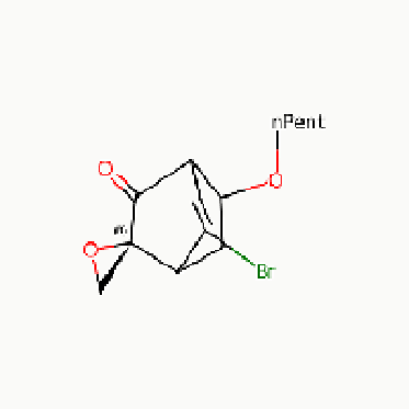 CCCCCOC1CC2C(Br)=CC1C(=O)[C@]21CO1